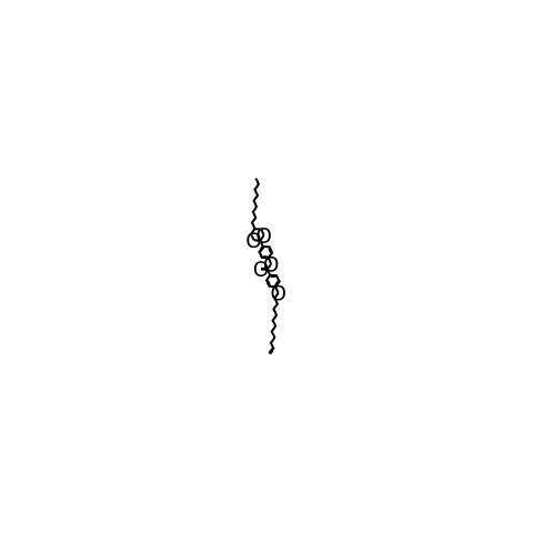 C=CCCCCCCCCCOc1ccc(C(=O)Oc2ccc(C3OCC(CCCCCCCCC)CO3)cc2)cc1